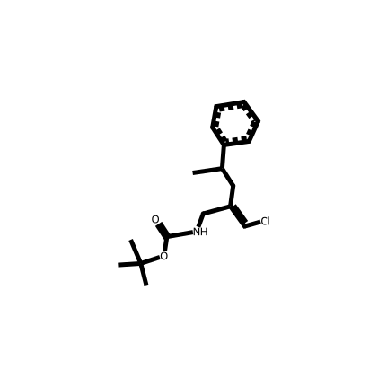 CC(C/C(=C\Cl)CNC(=O)OC(C)(C)C)c1ccccc1